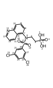 O=P(O)(O)CCN(c1cccc2ncccc12)S(=O)(=O)c1cc(Cl)cc(Cl)c1